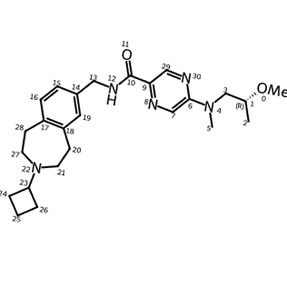 CO[C@H](C)CN(C)c1cnc(C(=O)NCc2ccc3c(c2)CCN(C2CCC2)CC3)cn1